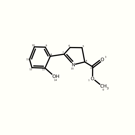 COC(=O)C1CCC(c2ccccc2O)=N1